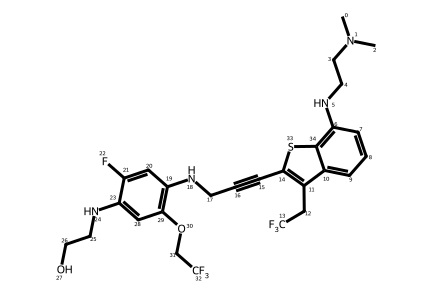 CN(C)CCNc1cccc2c(CC(F)(F)F)c(C#CCNc3cc(F)c(NCCO)cc3OCC(F)(F)F)sc12